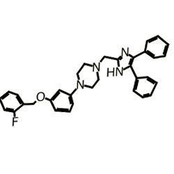 Fc1ccccc1COc1cccc(N2CCN(Cc3nc(-c4ccccc4)c(-c4ccccc4)[nH]3)CC2)c1